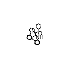 O=C(C1CCCCC1)C(C1CCc2ccccc2N1)N1CCCC1c1ccccc1